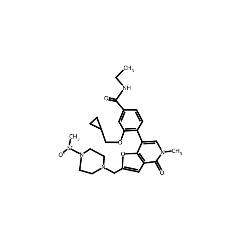 CCNC(=O)c1ccc(-c2cn(C)c(=O)c3cc(CN4CCN([S+](C)[O-])CC4)oc23)c(OCC2CC2)c1